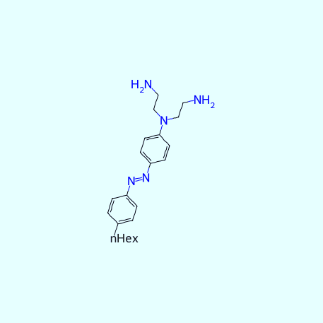 CCCCCCc1ccc(N=Nc2ccc(N(CCN)CCN)cc2)cc1